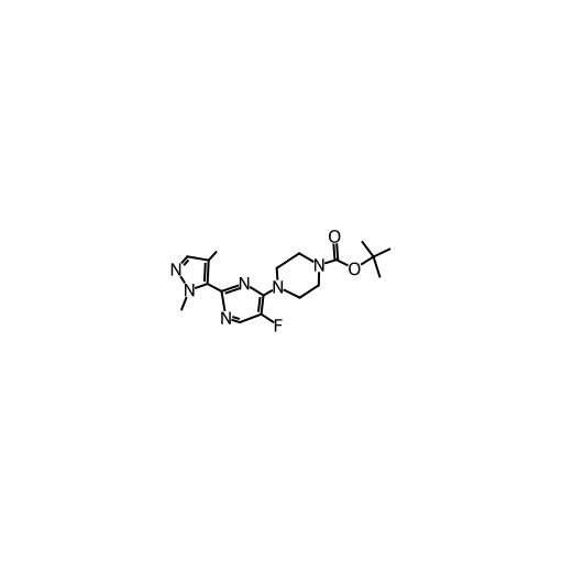 Cc1cnn(C)c1-c1ncc(F)c(N2CCN(C(=O)OC(C)(C)C)CC2)n1